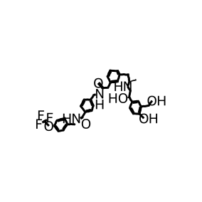 C[C@H](Cc1cccc(CC(=O)NCc2ccc(C(=O)NCc3ccc(OC(F)(F)F)cc3)cc2)c1)NC[C@H](O)c1ccc(O)c(CO)c1